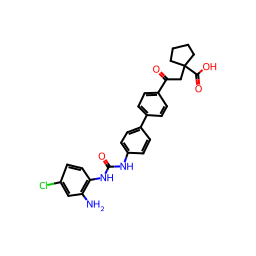 Nc1cc(Cl)ccc1NC(=O)Nc1ccc(-c2ccc(C(=O)CC3(C(=O)O)CCCC3)cc2)cc1